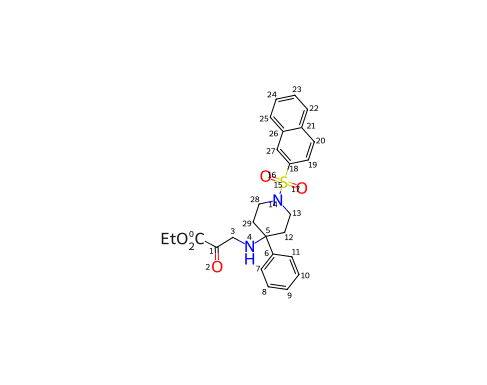 CCOC(=O)C(=O)CNC1(c2ccccc2)CCN(S(=O)(=O)c2ccc3ccccc3c2)CC1